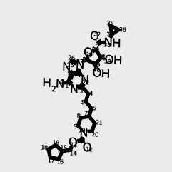 Nc1nc(CCCC2CCN(C(=O)OCC3CCCC3)CC2)nc2c1ncn2[C@@H]1O[C@H](C(=O)NC2CC2)[C@H](O)C1O